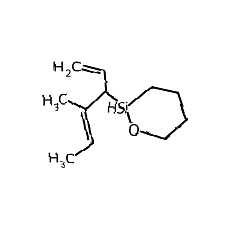 C=CC(C(C)=CC)[SiH]1CCCCO1